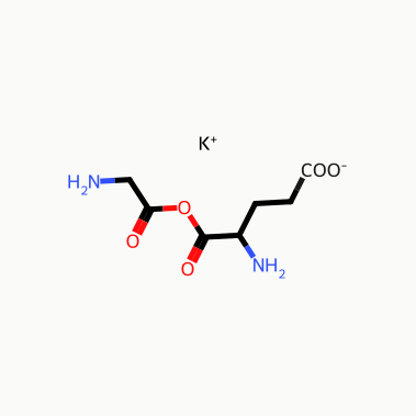 NCC(=O)OC(=O)C(N)CCC(=O)[O-].[K+]